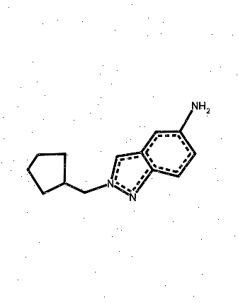 Nc1ccc2nn(CC3CCCC3)cc2c1